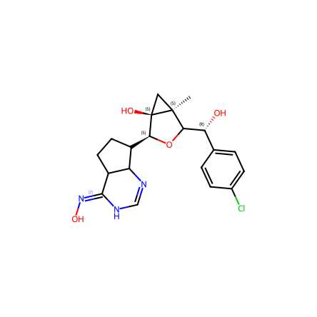 C[C@@]12C[C@@]1(O)[C@H](C1CCC3/C(=N/O)NC=NC31)OC2[C@H](O)c1ccc(Cl)cc1